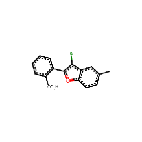 Cc1ccc2oc(-c3ccccc3C(=O)O)c(Br)c2c1